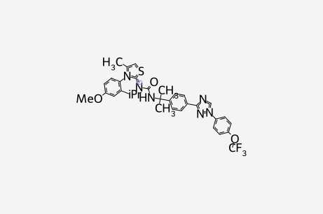 COc1ccc(-n2c(C)cs/c2=N\C(=O)NC(C)(C)c2ccc(-c3ncn(-c4ccc(OC(F)(F)F)cc4)n3)cc2)c(C(C)C)c1